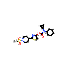 CC(C)S(=O)(=O)N1CCC(c2nc(OC(=O)N(C3CCCCC3)C3CC3)cs2)CC1